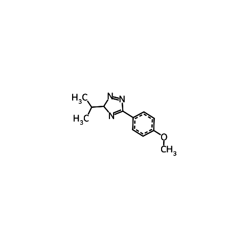 COc1ccc(C2=NC(C(C)C)N=N2)cc1